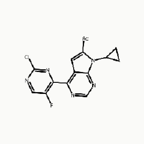 CC(=O)c1cc2c(-c3nc(Cl)ncc3F)ncnc2n1C1CC1